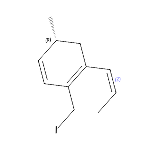 C/C=C\C1=C(CI)C=C[C@H](C)C1